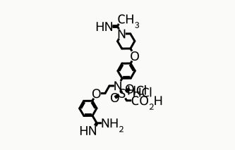 CC(=N)N1CCC(Oc2ccc(N(CCOc3cccc(C(=N)N)c3)S(=O)(=O)CC(=O)O)cc2)CC1.Cl.Cl